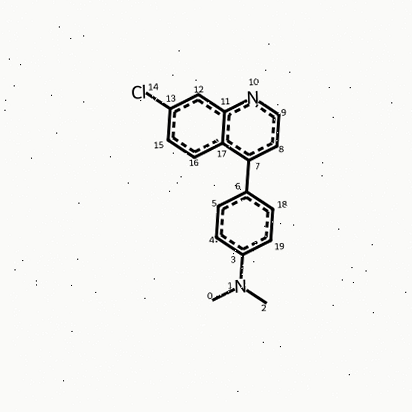 CN(C)c1[c]cc(-c2ccnc3cc(Cl)ccc23)cc1